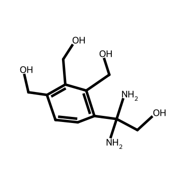 NC(N)(CO)c1ccc(CO)c(CO)c1CO